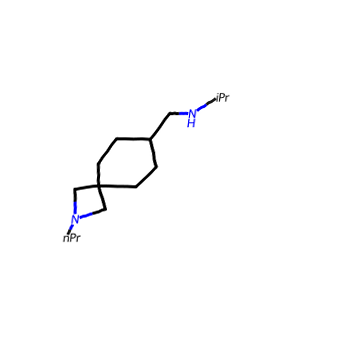 CCCN1CC2(CCC(CNC(C)C)CC2)C1